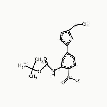 CC(C)(C)OC(=O)Nc1cc(-c2ccc(CO)s2)ccc1[N+](=O)[O-]